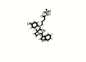 CC1(C(=O)N(CCCC(=O)NS(C)(=O)=O)c2ccc(Cl)cc2)CCN1C(=O)c1csc2ccccc12